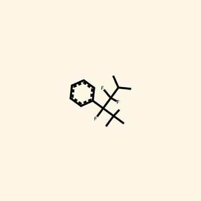 CC(C)C(F)(F)C(F)(c1ccccc1)C(C)(C)C